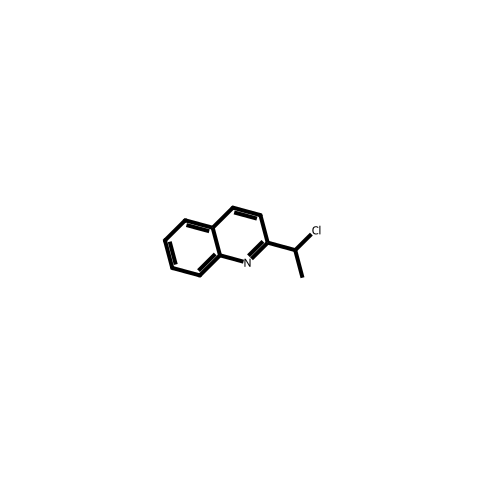 CC(Cl)c1ccc2ccccc2n1